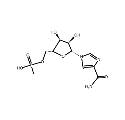 CP(=O)(O)OC[C@H]1O[C@@H](n2cnc(C(N)=O)n2)[C@H](O)[C@@H]1O